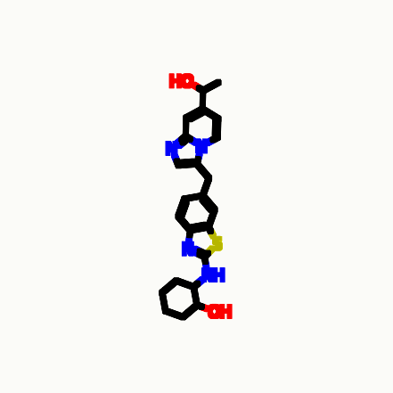 CC(O)c1ccn2c(Cc3ccc4nc(NC5CCCCC5O)sc4c3)cnc2c1